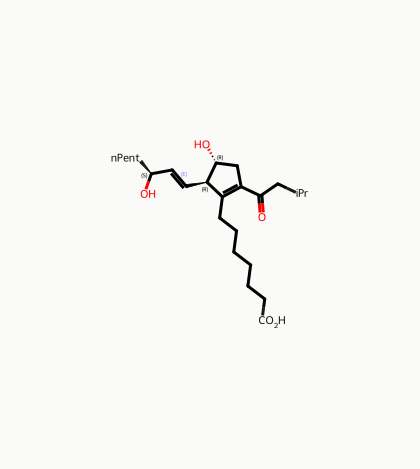 CCCCC[C@H](O)/C=C/[C@@H]1C(CCCCCCC(=O)O)=C(C(=O)CC(C)C)C[C@H]1O